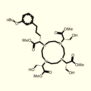 CCCCOc1cccc(CCC[C@@H](C(=O)OC)N2CCN([C@@H](CO)C(=O)OC)CCN([C@@H](CO)C(=O)OC)CCN([C@@H](CO)C(=O)OC)CC2)c1